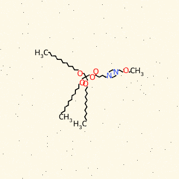 CCCCCCCCCCCCOCC(COCCCCCCCCCCCC)(COCCCCCCCCCCCC)COC(=O)CCCN1CCN(CCOCC)CC1